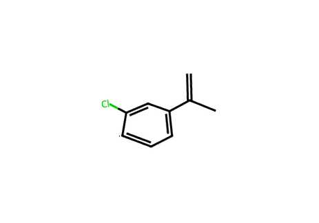 C=C(C)c1cc[c]c(Cl)c1